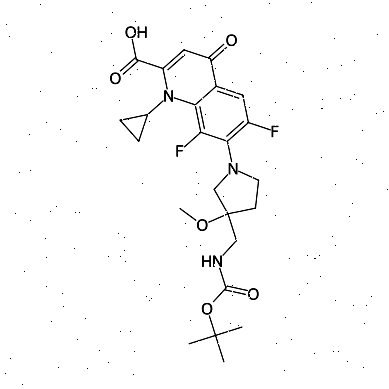 COC1(CNC(=O)OC(C)(C)C)CCN(c2c(F)cc3c(=O)cc(C(=O)O)n(C4CC4)c3c2F)C1